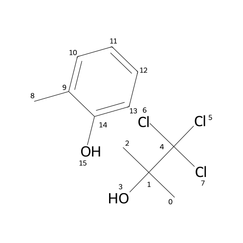 CC(C)(O)C(Cl)(Cl)Cl.Cc1ccccc1O